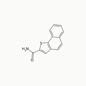 NC(=O)c1cc2ccc3ccccc3c2s1